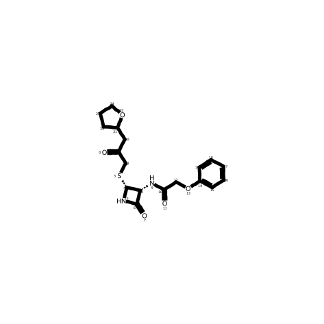 O=C(CS[C@H]1NC(=O)[C@H]1NC(=O)COc1ccccc1)CC1CCCO1